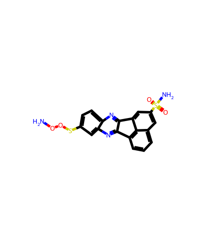 NOOSc1ccc2nc3c(nc2c1)-c1cccc2cc(S(N)(=O)=O)cc-3c12